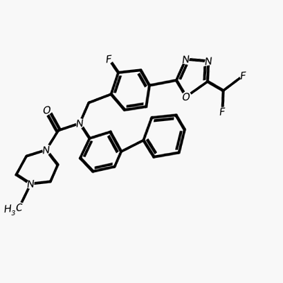 CN1CCN(C(=O)N(Cc2ccc(-c3nnc(C(F)F)o3)cc2F)c2cccc(-c3ccccc3)c2)CC1